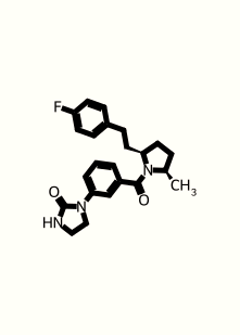 C[C@@H]1CC[C@H](CCc2ccc(F)cc2)N1C(=O)c1cccc(N2CCNC2=O)c1